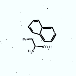 CC(C)C[C@H](N)C(=O)O.c1ccc2ccccc2c1